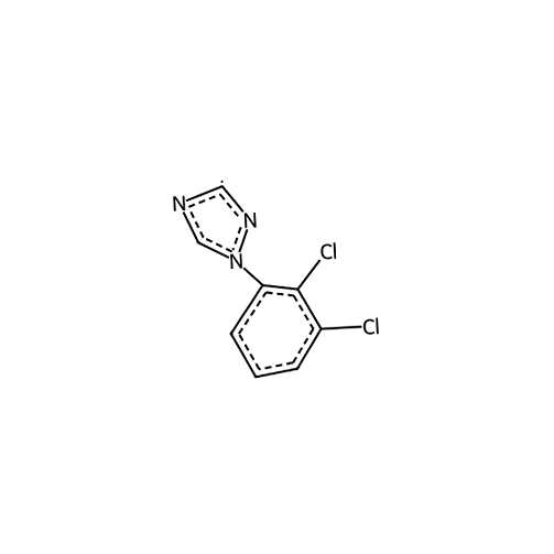 Clc1cccc(-n2cn[c]n2)c1Cl